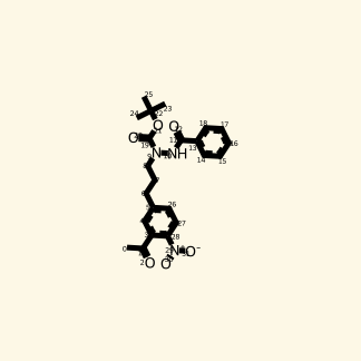 CC(=O)c1cc(CCCN(NC(=O)c2ccccc2)C(=O)OC(C)(C)C)ccc1[N+](=O)[O-]